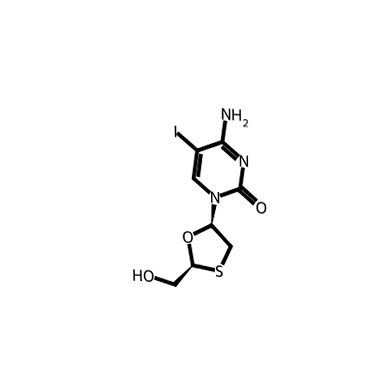 Nc1nc(=O)n([C@H]2CS[C@@H](CO)O2)cc1I